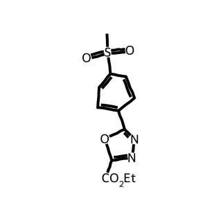 CCOC(=O)c1nnc(-c2ccc(S(C)(=O)=O)cc2)o1